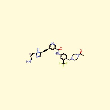 CC(=O)N1CCN(Cc2ccc(NC(=O)c3cncc(C#Cc4cnc(/C=C\C=N)[nH]4)c3)cc2C(F)(F)F)CC1